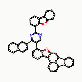 c1ccc2c(c1)-c1cccc3c1c-2cc1oc2c(-c4cnc(-c5cccc6c5oc5ccccc56)nc4-c4ccc5ccccc5c4)cccc2c13